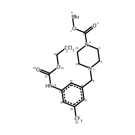 CC(C)(C)OC(=O)N1CCN(Cc2cc(NC(=O)OCC(Cl)(Cl)Cl)cc(C(F)(F)F)c2)CC1